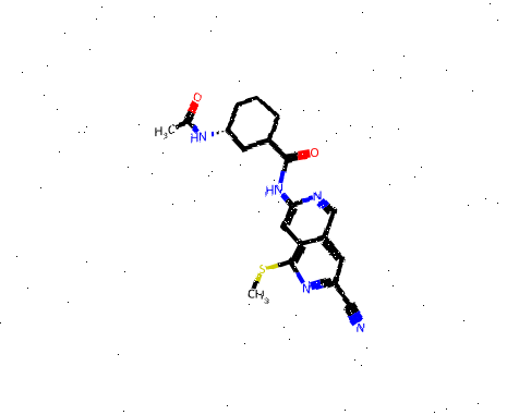 CSc1nc(C#N)cc2cnc(NC(=O)C3CCC[C@@H](NC(C)=O)C3)cc12